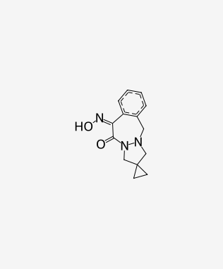 O=C1/C(=N\O)c2ccccc2CN2CC3(CC3)CN12